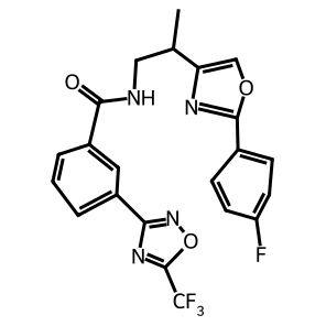 CC(CNC(=O)c1cccc(-c2noc(C(F)(F)F)n2)c1)c1coc(-c2ccc(F)cc2)n1